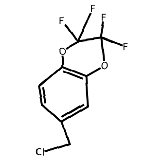 FC1(F)Oc2ccc(CCl)cc2OC1(F)F